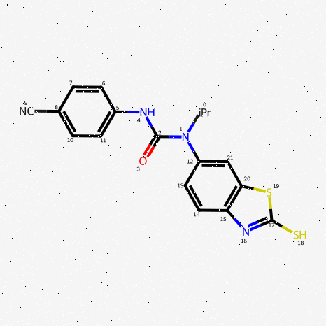 CC(C)N(C(=O)Nc1ccc(C#N)cc1)c1ccc2nc(S)sc2c1